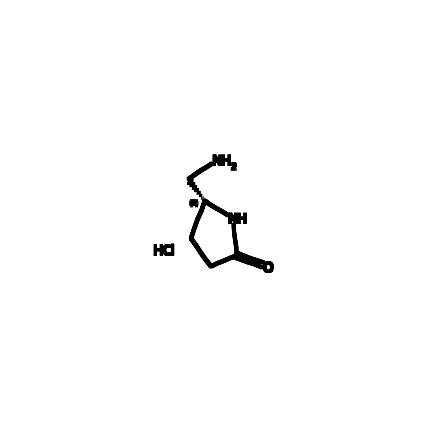 Cl.NC[C@H]1CCC(=O)N1